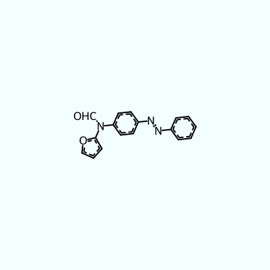 O=CN(c1ccc(/N=N/c2ccccc2)cc1)c1ccco1